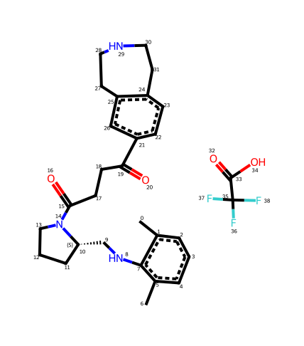 Cc1cccc(C)c1NC[C@@H]1CCCN1C(=O)CCC(=O)c1ccc2c(c1)CCNCC2.O=C(O)C(F)(F)F